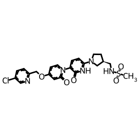 CS(=O)(=O)NC[C@@H]1CCN(c2ccc(-n3ccc(OCc4ccc(Cl)cn4)cc3=O)c(=O)[nH]2)C1